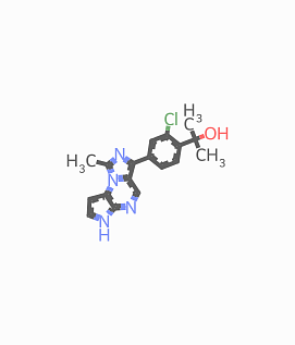 Cc1nc(-c2ccc(C(C)(C)O)c(Cl)c2)c2cnc3[nH]ccc3n12